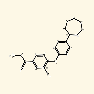 COC(=O)c1cnc(Oc2ccc(C3CCCCCC3)cc2)c(F)c1